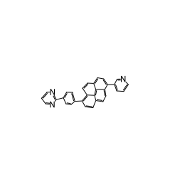 c1cnc(-c2ccc(-c3ccc4ccc5c(-c6cccnc6)ccc6ccc3c4c65)cc2)nc1